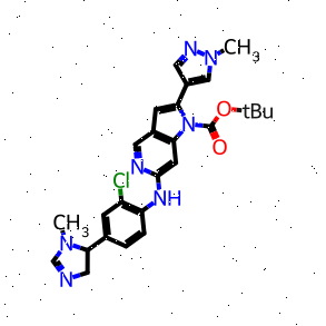 CN1C=NCC1c1ccc(Nc2cc3c(cn2)cc(-c2cnn(C)c2)n3C(=O)OC(C)(C)C)c(Cl)c1